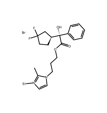 CC[n+]1ccn(CCCOC(=O)[C@](O)(c2ccccc2)[C@H]2CCC(F)(F)C2)c1C.[Br-]